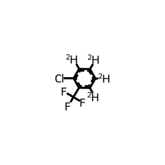 [2H]c1c([2H])c([2H])c(C(F)(F)F)c(Cl)c1[2H]